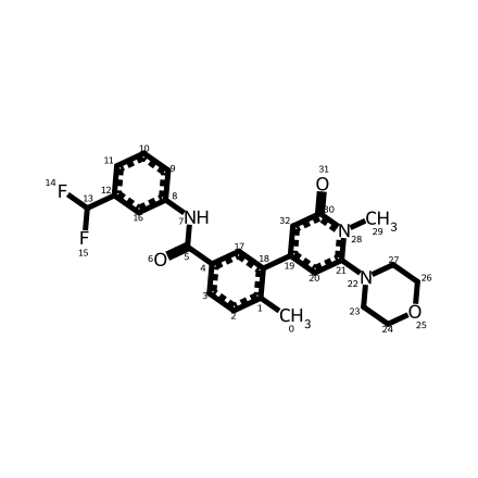 Cc1ccc(C(=O)Nc2cccc(C(F)F)c2)cc1-c1cc(N2CCOCC2)n(C)c(=O)c1